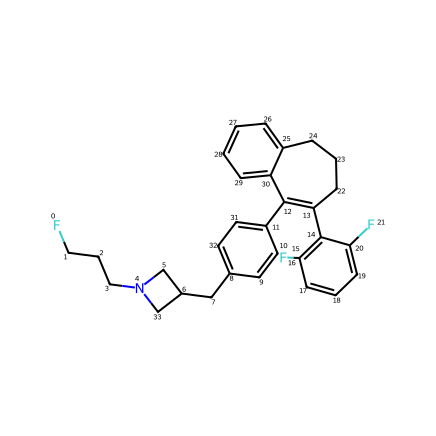 FCCCN1CC(Cc2ccc(C3=C(c4c(F)cccc4F)CCCc4ccccc43)cc2)C1